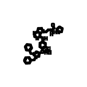 Cl.Cl.O=C(NCCn1ccc2ncnc(Nc3ccc(OC4=CN(Cc5ccccc5)S(Cc5ccccc5)=C4)c(Cl)c3)c21)[C@@H]1CCCN1